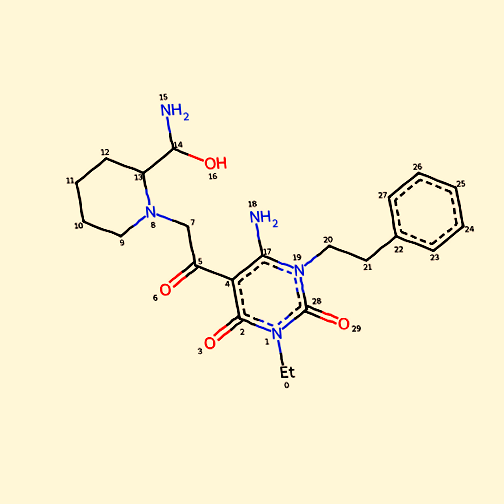 CCn1c(=O)c(C(=O)CN2CCCCC2C(N)O)c(N)n(CCc2ccccc2)c1=O